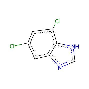 Clc1cc(Cl)c2[nH]cnc2c1